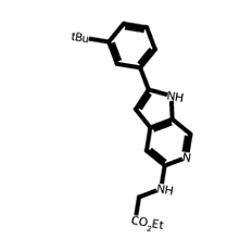 CCOC(=O)CNc1cc2cc(-c3cccc(C(C)(C)C)c3)[nH]c2cn1